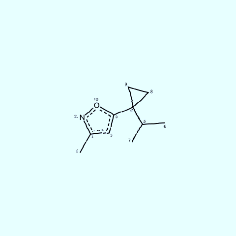 Cc1cc(C2(C(C)C)CC2)on1